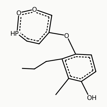 CCCc1c(Oc2cc[pH]ooc2)ccc(O)c1C